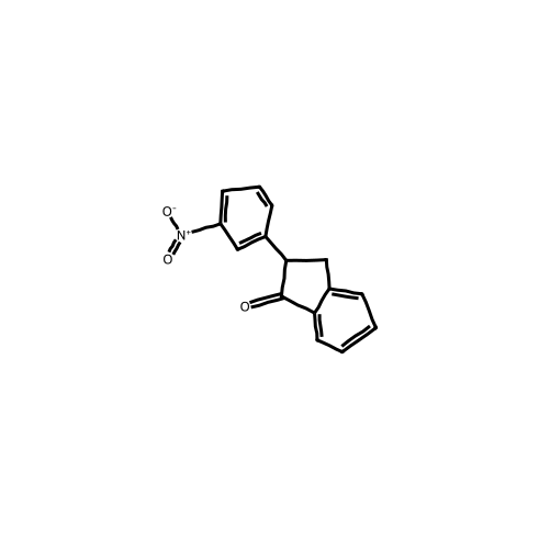 O=C1c2ccccc2CC1c1cccc([N+](=O)[O-])c1